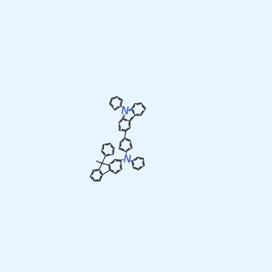 CC1(c2ccccc2)c2ccccc2-c2ccc(N(c3ccccc3)c3ccc(-c4ccc5c(c4)c4ccccc4n5-c4ccccc4)cc3)cc21